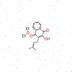 CC(C)=CCC1=C(O)C(=O)c2ccccc2C1=O.CCOCC